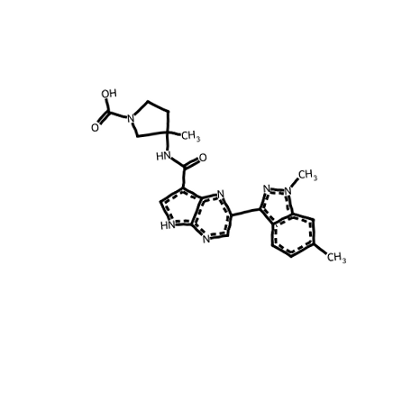 Cc1ccc2c(-c3cnc4[nH]cc(C(=O)NC5(C)CCN(C(=O)O)C5)c4n3)nn(C)c2c1